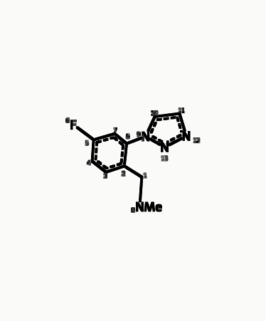 CNCc1ccc(F)cc1-n1ccnn1